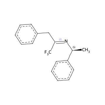 C[C@H](/N=C(/Cc1ccccc1)C(F)(F)F)c1ccccc1